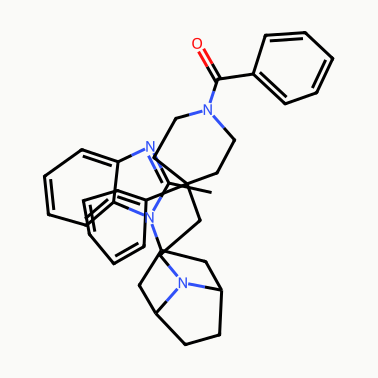 Cc1nc2ccccc2n1C1CC2CCC(C1)N2CCC1(c2ccccc2)CCN(C(=O)c2ccccc2)CC1